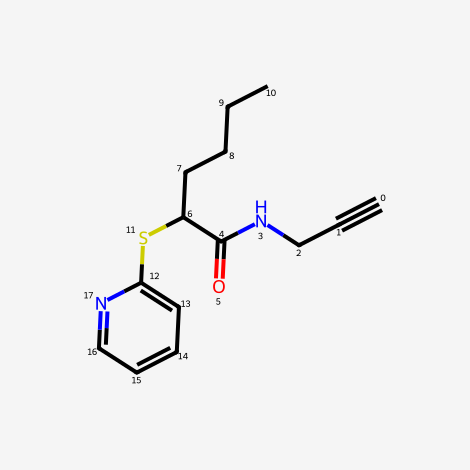 C#CCNC(=O)C(CCCC)Sc1ccccn1